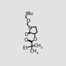 CCC(C)(C)C(=O)OC1CCN(COCC(C)(C)C)C1=O